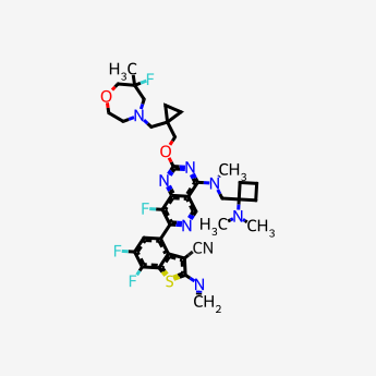 C=Nc1sc2c(F)c(F)cc(-c3ncc4c(N(C)CC5(N(C)C)CCC5)nc(OCC5(CN6CCOCC(C)(F)C6)CC5)nc4c3F)c2c1C#N